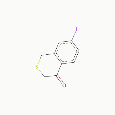 O=C1CSCc2cc(I)ccc21